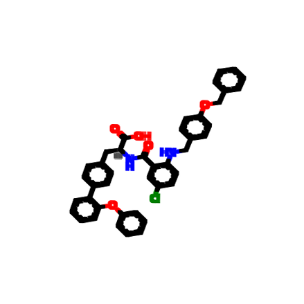 O=C(N[C@@H](Cc1ccc(-c2ccccc2Oc2ccccc2)cc1)C(=O)O)c1cc(Cl)ccc1NCc1ccc(OCc2ccccc2)cc1